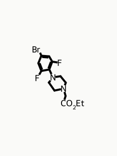 CCOC(=O)CN1CCN(c2c(F)cc(Br)cc2F)CC1